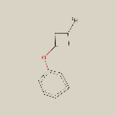 [2H]C1CC(Oc2ccccc2)C1